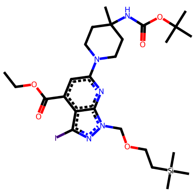 CCOC(=O)c1cc(N2CCC(C)(NC(=O)OC(C)(C)C)CC2)nc2c1c(I)nn2COCC[Si](C)(C)C